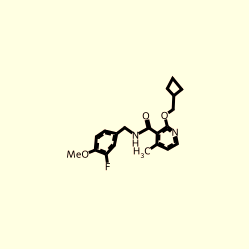 COc1ccc(CNC(=O)c2c(C)ccnc2OCC2CCC2)cc1F